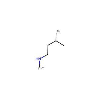 CCCNCCC(C)C(C)C